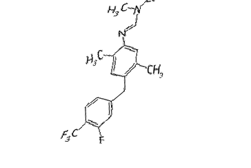 CCN(C)C=Nc1cc(C)c(Cc2ccc(C(F)(F)F)c(F)c2)cc1C